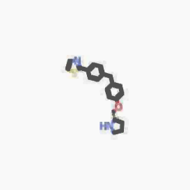 c1csc(-c2ccc(Cc3ccc(OC[C@@H]4CCCN4)cc3)cc2)n1